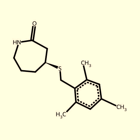 Cc1cc(C)c(CS[C@H]2CCCNC(=O)C2)c(C)c1